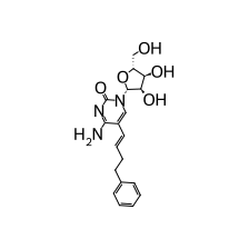 Nc1nc(=O)n([C@@H]2O[C@H](CO)[C@@H](O)[C@H]2O)cc1/C=C/CCc1ccccc1